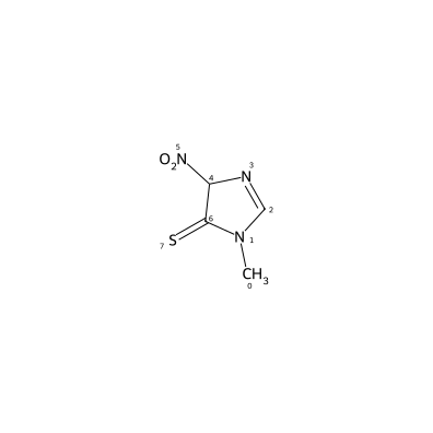 CN1C=NC([N+](=O)[O-])C1=S